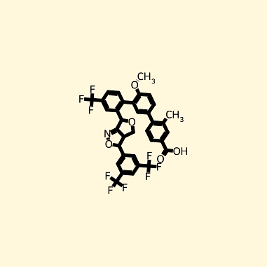 COc1ccc(-c2ccc(C(=O)O)cc2C)cc1-c1ccc(C(F)(F)F)cc1C1OCC2C1=NOC2c1cc(C(F)(F)F)cc(C(F)(F)F)c1